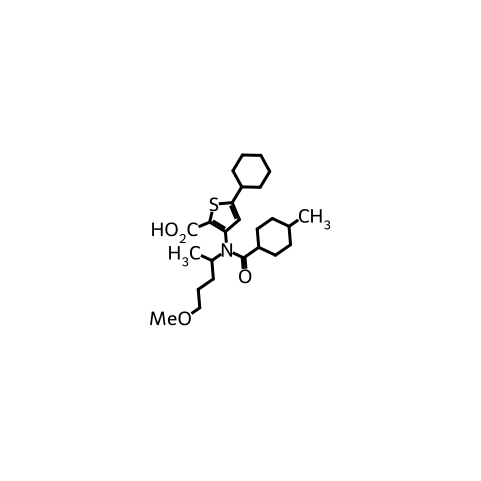 COCCCC(C)N(C(=O)C1CCC(C)CC1)c1cc(C2CCCCC2)sc1C(=O)O